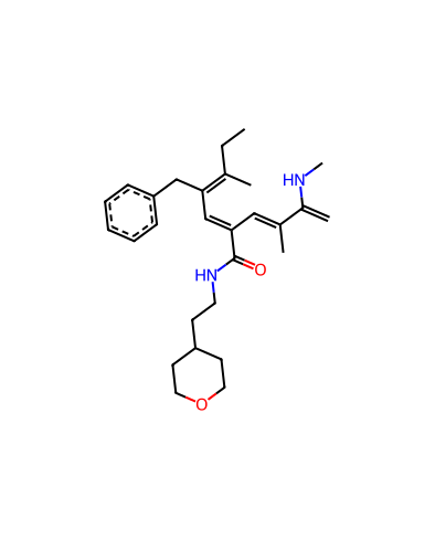 C=C(NC)/C(C)=C/C(=C\C(Cc1ccccc1)=C(/C)CC)C(=O)NCCC1CCOCC1